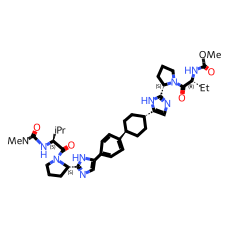 CC[C@@H](NC(=O)OC)C(=O)N1CCC[C@H]1c1ncc([C@H]2CC[C@H](c3ccc(-c4cnc([C@@H]5CCCN5C(=O)[C@@H](NC(=O)NC)C(C)C)[nH]4)cc3)CC2)[nH]1